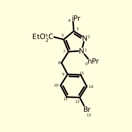 CCCn1nc(C(C)C)c(C(=O)OCC)c1Cc1ccc(Br)cc1